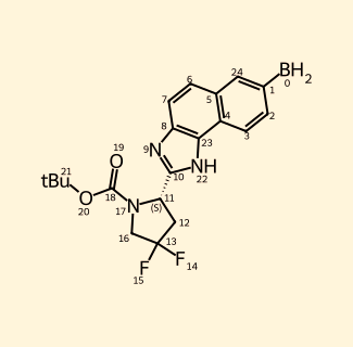 Bc1ccc2c(ccc3nc([C@@H]4CC(F)(F)CN4C(=O)OC(C)(C)C)[nH]c32)c1